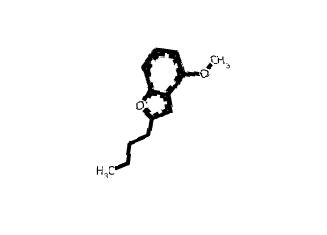 CCCCc1cc2c(OC)cccc2o1